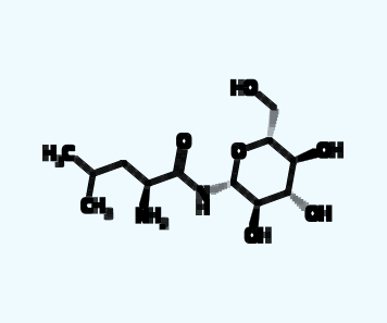 CC(C)C[C@H](N)C(=O)N[C@@H]1O[C@H](CO)[C@@H](O)[C@H](O)[C@H]1O